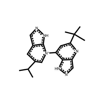 CC(C)c1cc2cn[nH]c2[n+](-c2cc(C(C)(C)C)nc3cn[nH]c23)c1